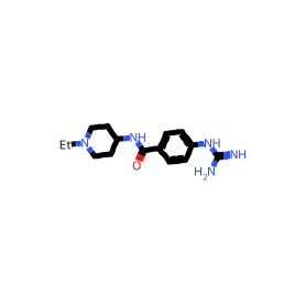 CCN1CCC(NC(=O)c2ccc(NC(=N)N)cc2)CC1